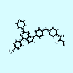 C=CC(=O)NC1CCN(Cc2ccc(-n3ccc4c(-c5cnc(N)nc5)nc(N5CCOCC5)nc43)cc2)CC1